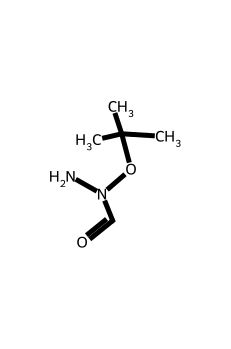 CC(C)(C)ON(N)C=O